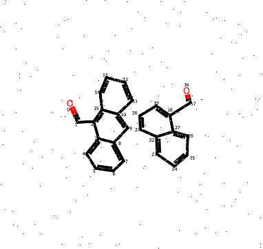 O=Cc1c2ccccc2cc2ccccc12.O=Cc1cccc2ccccc12